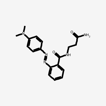 CN(C)c1ccc(N=Nc2ccccc2C(=O)NCCC(N)=O)cc1